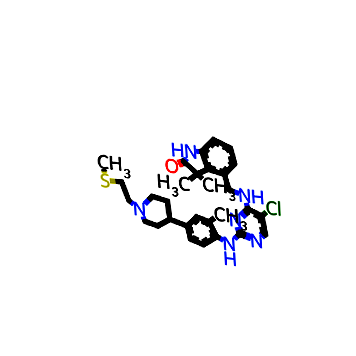 CSCCN1CCC(c2ccc(Nc3ncc(Cl)c(NCc4cccc5c4C(C)(C)C(=O)N5)n3)c(C)c2)CC1